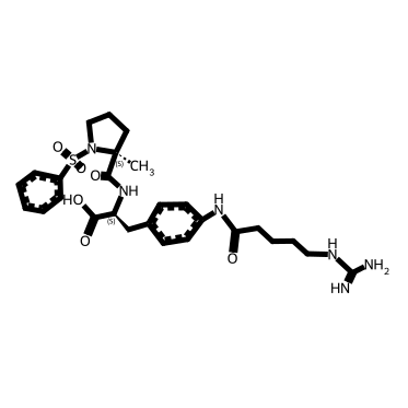 C[C@@]1(C(=O)N[C@@H](Cc2ccc(NC(=O)CCCCNC(=N)N)cc2)C(=O)O)CCCN1S(=O)(=O)c1ccccc1